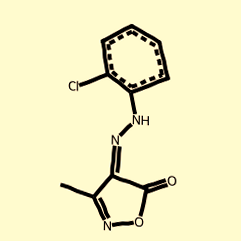 CC1=NOC(=O)/C1=N\Nc1ccccc1Cl